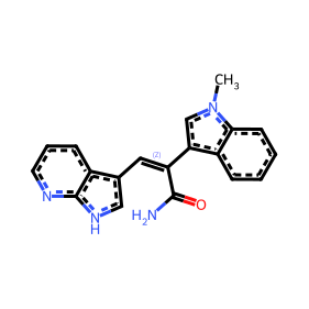 Cn1cc(/C(=C/c2c[nH]c3ncccc23)C(N)=O)c2ccccc21